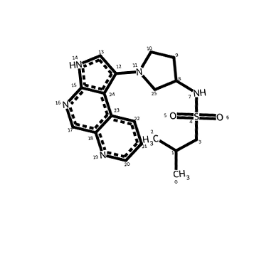 CC(C)CS(=O)(=O)NC1CCN(c2c[nH]c3ncc4ncccc4c23)C1